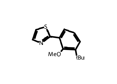 COc1c(-c2nccs2)cccc1C(C)(C)C